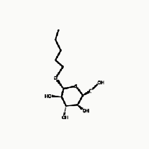 CCCCCO[C@H]1S[C@@H](CO)[C@@H](O)[C@H](O)[C@H]1O